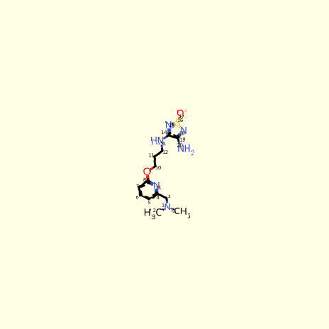 CN(C)Cc1cccc(OCCCNc2n[s+]([O-])nc2N)n1